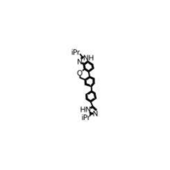 CC(C)c1ncc(-c2ccc(-c3ccc4c(c3)COc3c-4ccc4[nH]c(C(C)C)nc34)cc2)[nH]1